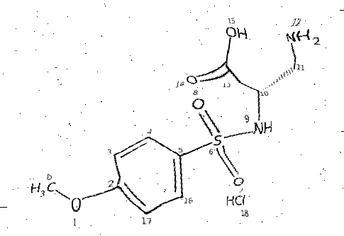 COc1ccc(S(=O)(=O)N[C@@H](CN)C(=O)O)cc1.Cl